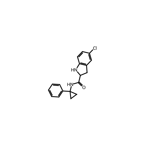 O=C(NC1(c2ccccc2)CC1)C1Cc2cc(Cl)ccc2N1